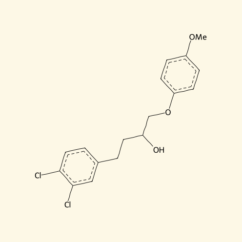 COc1ccc(OCC(O)CCc2ccc(Cl)c(Cl)c2)cc1